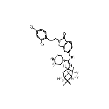 C[C@@H]1[C@@H](/N=C(/Nc2ccc3c(c2)CN(CCc2ccc(Cl)cc2Cl)C3=O)N2CCN[C@@H](C)C2)C[C@H]2C[C@@H]1C2(C)C